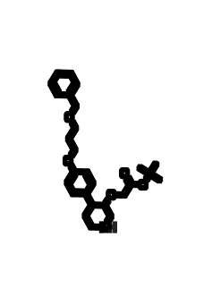 CC(C)(C)OC(=O)COC1CNCCC1c1ccc(OCCCOCc2ccccc2)cc1